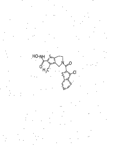 Cc1c(C(=O)NO)sc2c1CN(C(=O)c1sc3ccccc3c1Cl)CC2